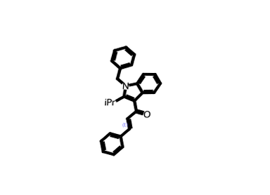 CC(C)c1c(C(=O)/C=C/c2ccccc2)c2ccccc2n1Cc1ccccc1